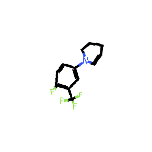 Fc1ccc(N2C=CCCC2)cc1C(F)(F)F